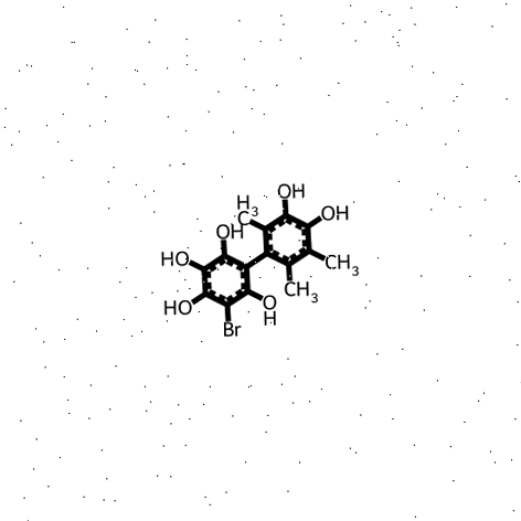 Cc1c(C)c(-c2c(O)c(O)c(O)c(Br)c2O)c(C)c(O)c1O